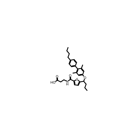 CCCCc1ccc(-c2c(C)cc(OC(CCC)c3ccc(C(=O)NCCC(=O)O)s3)cc2C)cc1